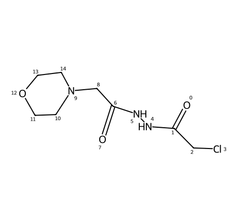 O=C(CCl)NNC(=O)CN1CCOCC1